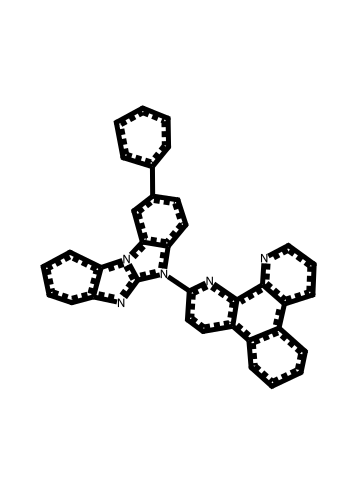 c1ccc(-c2ccc3c(c2)n2c4ccccc4nc2n3-c2ccc3c4ccccc4c4cccnc4c3n2)cc1